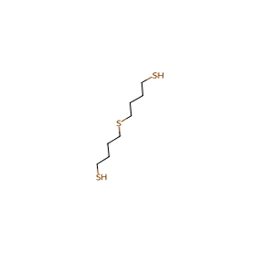 SCCCCSCCCCS